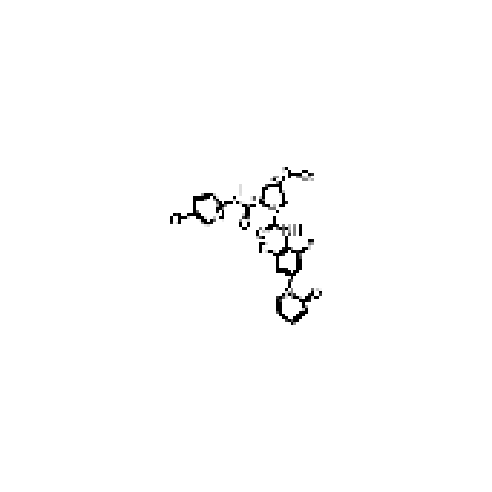 CCO[C@@H]1C[C@H](C(=O)Nc2ccc(Cl)cn2)N(C(=O)Nc2c(F)cc(-n3ccccc3=O)cc2F)C1